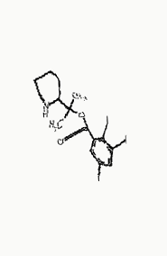 CC(C)(OC(=O)c1cc(I)cc(I)c1I)C1CCCCN1